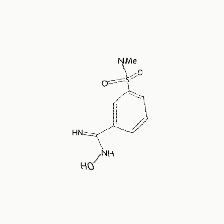 CNS(=O)(=O)c1cccc(C(=N)NO)c1